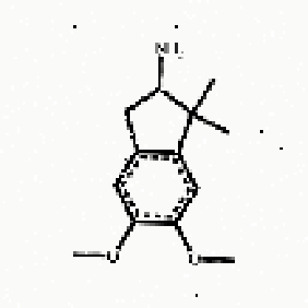 COc1cc2c(cc1OC)C(C)(C)C(N)C2